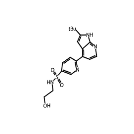 CC(C)(C)c1cc2c(-c3ccc(S(=O)(=O)NCCO)cn3)ccnc2[nH]1